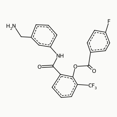 NCc1cccc(NC(=O)c2cccc(C(F)(F)F)c2OC(=O)c2ccc(F)cc2)c1